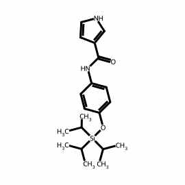 CC(C)[Si](Oc1ccc(NC(=O)c2cc[nH]c2)cc1)(C(C)C)C(C)C